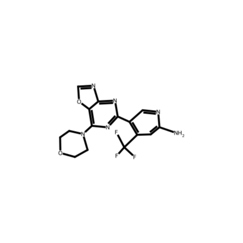 Nc1cc(C(F)(F)F)c(-c2nc(N3CCOCC3)c3ocnc3n2)cn1